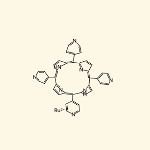 C1=Cc2nc1c(-c1ccncc1)c1ccc([nH]1)c(-c1ccncc1)c1nc(c(-c3ccncc3)c3ccc([nH]3)c2-c2ccncc2)C=C1.[Ru+2]